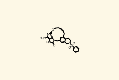 Nc1nc2nc3c1[nH]c(=O)n3Cc1cc(c3c(c1)CN(S(=O)(=O)c1ccccc1)CC3)C/C=C\CCO2